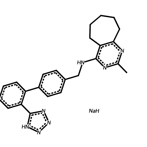 Cc1nc2c(c(NCc3ccc(-c4ccccc4-c4nnn[nH]4)cc3)n1)CCCCC2.[NaH]